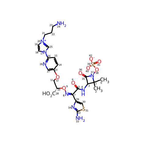 CC1(C)C(NC(=O)/C(=N\O[C@@H](COc2ccc(-n3cc[n+](CCCN)c3)nc2)C(=O)O)c2csc(N)n2)C(=O)N1OS(=O)(=O)[O-]